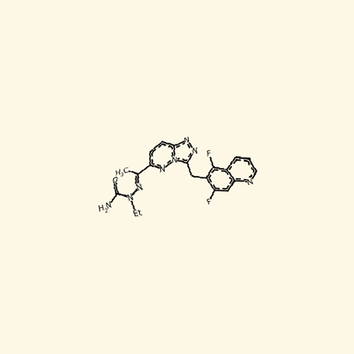 CCN(N=C(C)c1ccc2nnc(Cc3c(F)cc4ncccc4c3F)n2n1)C(N)=O